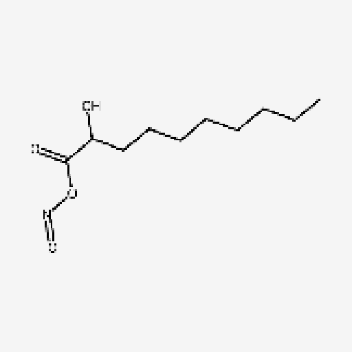 CCCCCCCCC(O)C(=O)ON=O